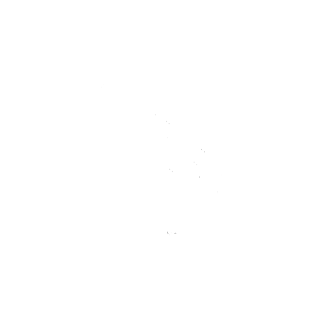 CCC(CC)(NC(=O)c1c(C)nn2c1NC(c1cccc(OC)c1)CC2(C)C)c1ccc(C)cc1